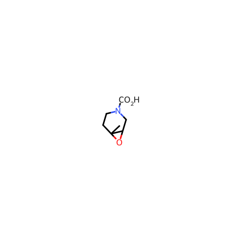 CC12CCN(C(=O)O)CC1O2